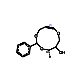 C[C@@H]1OC(c2ccccc2)OC/C=C\OCC1O